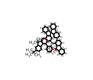 CC(C)(C)c1ccc2c(c1)C(C)(C)c1cccc(-c3ccccc3N(c3ccc4c(c3)C3(c5ccccc5-c5ccccc53)c3ccccc3-4)c3cccc4c3C(C)(C)c3ccccc3-4)c1-2